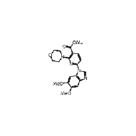 COC(=O)c1ccc(-n2cnc3cc(OC)c(OC)cc32)nc1N1CCOCC1